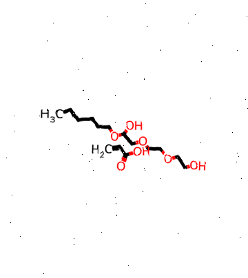 C=CC(=O)O.CCCCCCOC(O)COCCOCCO